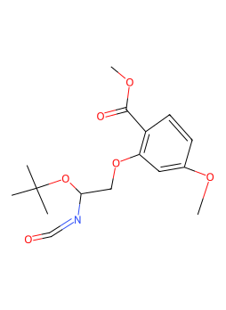 COC(=O)c1ccc(OC)cc1OCC(N=C=O)OC(C)(C)C